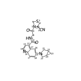 N#C[C@@H]1CSCN1C(=O)CNC(=O)c1ccnc2ccc(N3CC4CC4C3)cc12